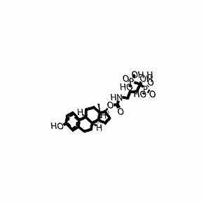 C[C@]12CC[C@@H]3c4ccc(O)cc4CC[C@H]3[C@@H]1CC[C@@H]2OC(=O)NCCCC(O)(P(=O)(O)O)P(=O)(O)O